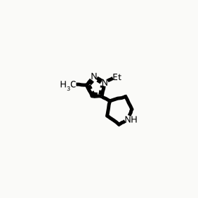 CCn1nc(C)cc1C1CCNCC1